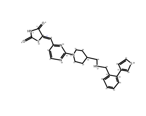 O=C1NC(=O)/C(=C/c2ccnc(N3CCC(CNCc4ccccc4-c4ccsc4)CC3)n2)S1